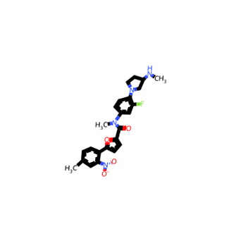 CNC1CCN(c2ccc(N(C)C(=O)c3ccc(-c4ccc(C)cc4[N+](=O)[O-])o3)cc2F)C1